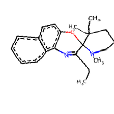 CCC1=Nc2c(ccc3ccccc23)OC12N(C)CCCC2(C)C